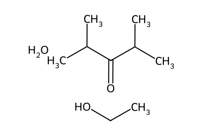 CC(C)C(=O)C(C)C.CCO.O